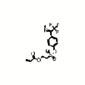 C=CC(=O)OCCS(=O)(=O)Oc1ccc(/C(=N/C)C(F)(F)F)cc1